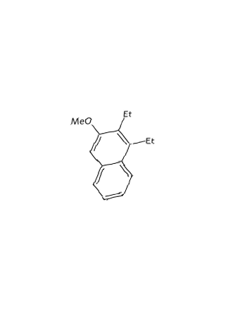 CCc1c(OC)cc2ccccc2c1CC